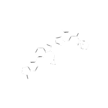 Cc1c(-c2cc3ccc(-c4ccc5c(c4)CNC5=O)nc3n2CC2CC2)nn2cc(C(=O)N3CC4CCC3[C@@H]4N)cc(F)c12